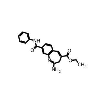 CCOC(=O)C1=Cc2ccc(C(=O)Nc3ccccc3)cc2N=C(N)C1